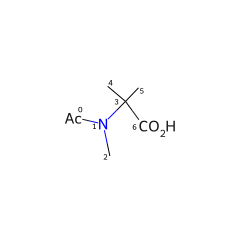 CC(=O)N(C)C(C)(C)C(=O)O